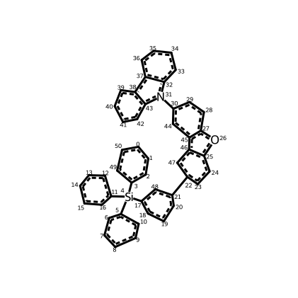 c1ccc([Si](c2ccccc2)(c2ccccc2)c2cccc(-c3ccc4oc5ccc(-n6c7ccccc7c7ccccc76)cc5c4c3)c2)cc1